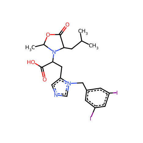 CC(C)CC1C(=O)OC(C)N1C(Cc1cncn1Cc1cc(I)cc(I)c1)C(=O)O